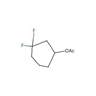 CC(=O)OC1CCCC(F)(F)C1